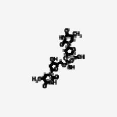 Cc1cn([C@H]2CC(O)[C@@H](CO[P@](=O)(S)OC3C[C@H](n4cc(C)c(=O)[nH]c4=O)O[C@@H]3CO)O2)c(=O)[nH]c1=O